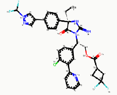 CC(C)(C)C[C@]1(c2ccc(-c3cnn(C(F)F)c3)cc2)NC(=N)N([C@H](COC(=O)C2CC(F)(F)C2)c2ccc(Cl)c(-c3ccccn3)c2)C1=O